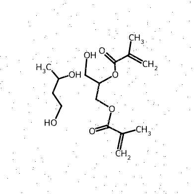 C=C(C)C(=O)OCC(CO)OC(=O)C(=C)C.CC(O)CCO